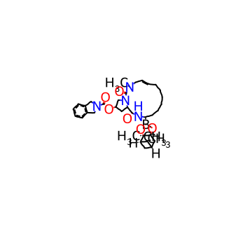 CN1C/C=C/CCCCCC[C@@H](B2OC3C[C@H]4C[C@H](C4(C)C)[C@@]3(C)O2)NC(=O)C2CC(OC(=O)N3Cc4ccccc4C3)CN2C1=O